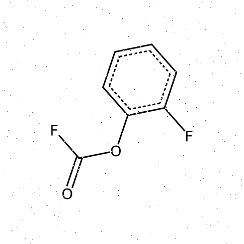 O=C(F)Oc1ccccc1F